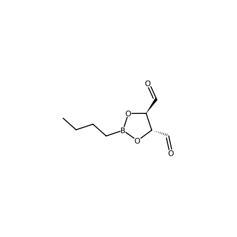 CCCCB1O[C@@H](C=O)[C@H](C=O)O1